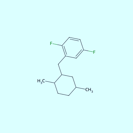 CC1CCC(C)C(Cc2cc(F)ccc2F)C1